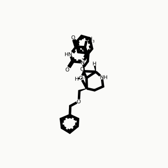 Cc1cn([C@@H]2O[C@@]3(COCc4ccccc4)CCN[C@@H]2[C@@H]3OCc2ccccc2)c(=O)[nH]c1=O